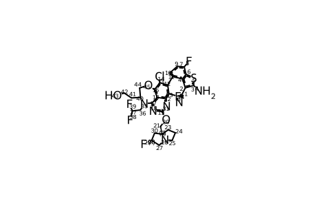 N#Cc1c(N)sc2c(F)ccc(-c3c(Cl)c4c5c(nc(OC[C@@]67CCCN6C[C@H](F)C7)nc5c3F)N(CC(F)F)C(CCO)CO4)c12